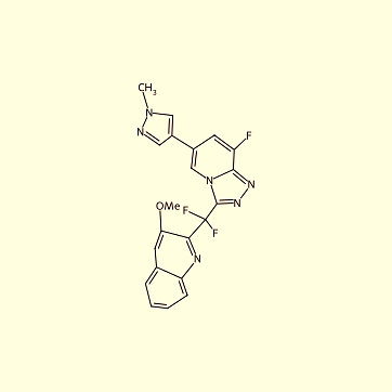 COc1cc2ccccc2nc1C(F)(F)c1nnc2c(F)cc(-c3cnn(C)c3)cn12